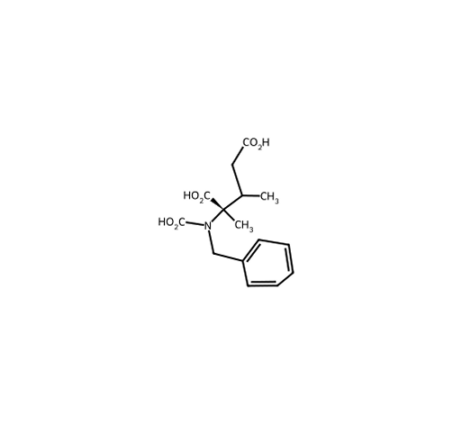 CC(CC(=O)O)[C@@](C)(C(=O)O)N(Cc1ccccc1)C(=O)O